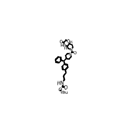 CC(C)(C)OC(=O)NCCCc1ccc(C(c2ccccc2)C2CCN(C(=O)N3CC[C@@H]4OCC(=O)N[C@@H]4C3)CC2)cc1